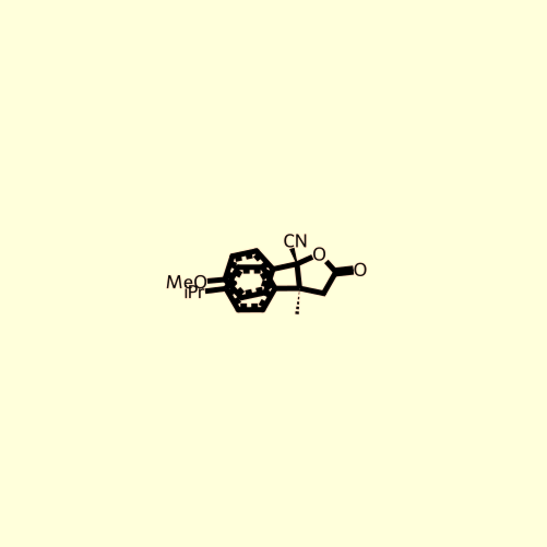 COc1ccc([C@]2(C#N)OC(=O)C[C@@]2(C)c2ccc(C(C)C)cc2)cc1